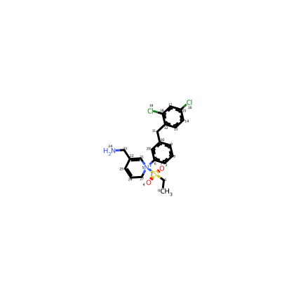 CCS(=O)(=O)[N+]1(c2cccc(Cc3ccc(Cl)cc3Cl)c2)C=C(CN)C=CC1